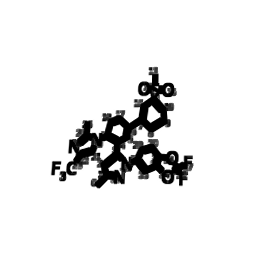 Cc1cc(-c2cc(-c3cccc(S(C)(=O)=O)c3)ccc2-n2cc(C(F)(F)F)nc2C)n(-c2ccc3c(c2)OC(F)(F)O3)n1